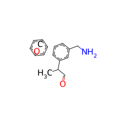 CC(C=O)c1cccc(CN)c1.c1cc2ccc1CO2